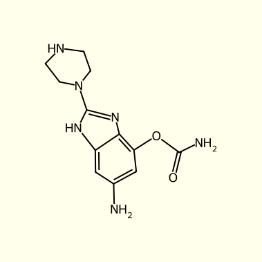 NC(=O)Oc1cc(N)cc2[nH]c(N3CCNCC3)nc12